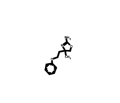 CC1(CCOc2ccccc2)COC(N)=N1